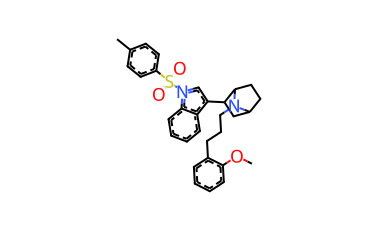 COc1ccccc1CCCN1C2CCC1C(c1cn(S(=O)(=O)c3ccc(C)cc3)c3ccccc13)C2